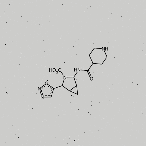 O=C(NC1C2CC2C(c2cnno2)N1C(=O)O)C1CCNCC1